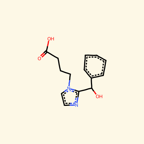 O=C(O)CCCn1ccnc1C(O)c1ccccc1